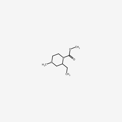 CCC1CN(C)CCN1C(=O)OC